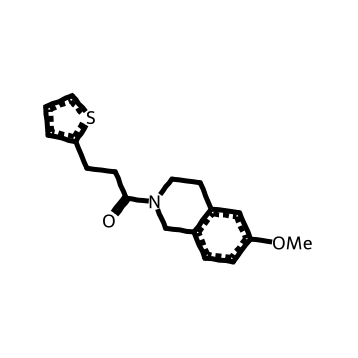 COc1ccc2c(c1)CCN(C(=O)CCc1cccs1)C2